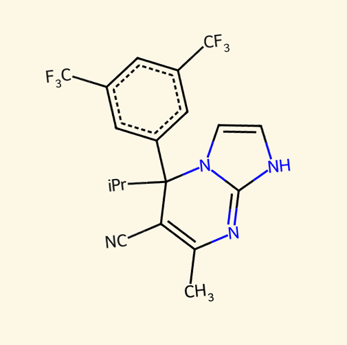 CC1=C(C#N)C(c2cc(C(F)(F)F)cc(C(F)(F)F)c2)(C(C)C)N2C=CNC2=N1